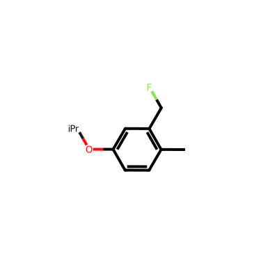 Cc1ccc(OC(C)C)cc1CF